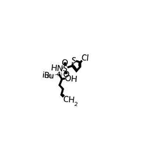 C=CCCC(O)[C@@H](NS(=O)(=O)c1ccc(Cl)s1)[C@@H](C)CC